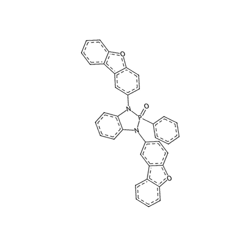 O=P1(c2ccccc2)N(c2ccc3oc4ccccc4c3c2)c2ccccc2N1c1ccc2oc3ccccc3c2c1